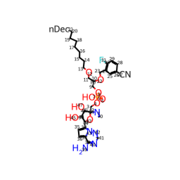 C=N[C@]1(COP(=O)(O)OC[C@@H](COCCCCCCCCCCCCCCCCCC)OCc2cc(C#N)ccc2F)O[C@@H](c2ccc3c(N)ncnn23)[C@H](O)[C@@H]1O